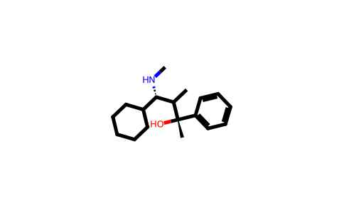 CN[C@@H](C1CCCCC1)C(C)[C@@](C)(O)c1ccccc1